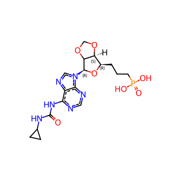 O=C(Nc1ncnc2c1ncn2[C@@H]1O[C@H](CCCP(=O)(O)O)[C@@H]2OCOC21)NC1CC1